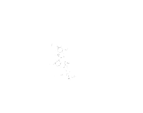 C[SiH2]CCOP(=O)(OCCC[SiH](C)C)Oc1ccc(Cl)cc1C(=O)Nc1cc(C(F)(F)F)cc(C(F)(F)F)c1